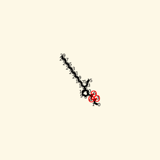 C=CC(=O)OC(=O)c1cccc(C(CCC)CCCCCCCCCCCCCC)c1